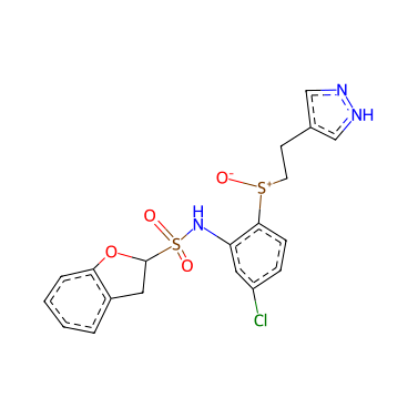 O=S(=O)(Nc1cc(Cl)ccc1[S+]([O-])CCc1cn[nH]c1)C1Cc2ccccc2O1